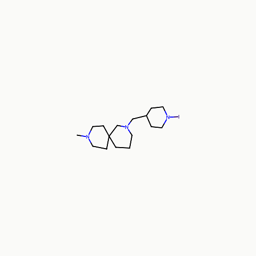 CN1CCC2(CCCN(CC3CCN(I)CC3)C2)CC1